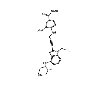 CNC(=O)c1ccc(NCC#Cc2cc3c(N[C@H]4CCNC[C@H]4F)cccc3n2CC(F)(F)F)c(OC)c1